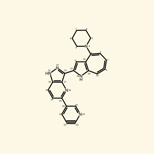 C1=CC=C(N2CCCCC2)c2cc(-c3n[nH]c4ccc(-c5cc#cnc5)nc34)[nH]c2C=1